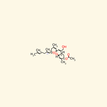 CC(=O)O[C@H]1C[C@H]2C(CO)=C[C@@]3(C=C(C)C[C@H](/C=C(\C)CCC=C(C)C)O3)O[C@H]2C=C1C